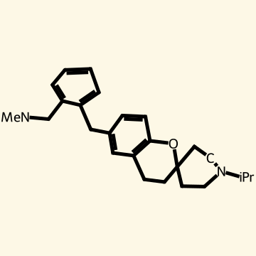 CNCc1ccccc1Cc1ccc2c(c1)CCC1(CCN(C(C)C)CC1)O2